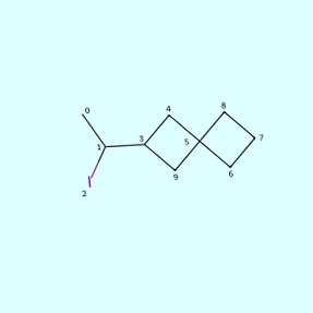 CC(I)C1CC2(CCC2)C1